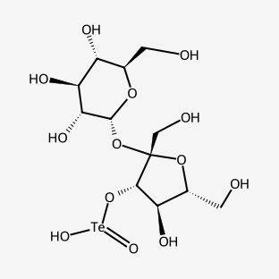 O=[Te](O)O[C@H]1[C@H](O)[C@@H](CO)O[C@@]1(CO)O[C@H]1O[C@H](CO)[C@@H](O)[C@H](O)[C@H]1O